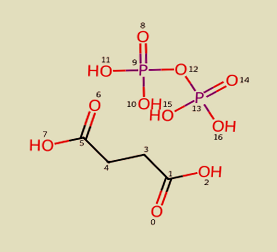 O=C(O)CCC(=O)O.O=P(O)(O)OP(=O)(O)O